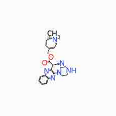 C[C@H]1C=CC(COC(=O)C(C#N)c2nc3ccccc3nc2N2CCNCC2)=CC=N1